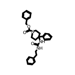 O=C(NCCc1ccccc1)NC1(c2ccccc2)CCN(C(=O)OCc2ccccc2)CC1